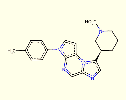 Cc1ccc(-n2ccc3c2ncc2ncc([C@@H]4CCCN(C(=O)O)C4)n23)cc1